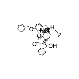 O=CC1c2ccccc2C(O)N1[C@@H]1CC[C@@]2(O)[C@H]3Cc4ccc(OCc5ccccc5)c5c4[C@@]2(CCN3CC2CC2)[C@H]1O5